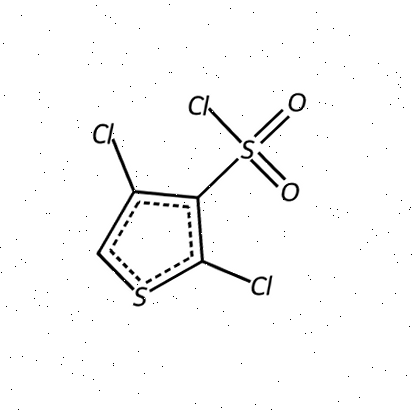 O=S(=O)(Cl)c1c(Cl)csc1Cl